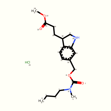 CCCCN(C)C(=O)OCc1ccc2c(c1)NCC2CCC(=O)OC.Cl